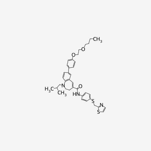 CCCCOCCOc1ccc(-c2ccc3c(c2)C=C(C(=O)Nc2ccc(SCc4nccs4)cc2)CCN3CC(C)C)cc1